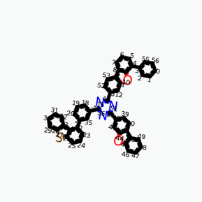 c1ccc(-c2cccc3c2oc2cc(-c4nc(-c5cccc(-c6cccc7sc8ccccc8c67)c5)nc(-c5ccc6c(c5)oc5ccccc56)n4)ccc23)cc1